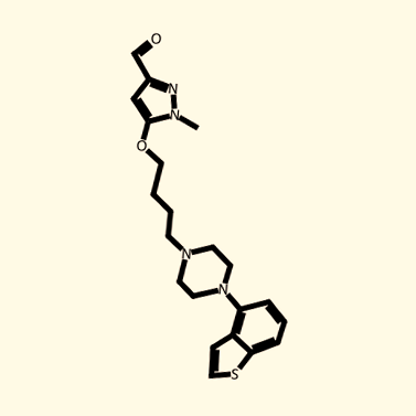 Cn1nc(C=O)cc1OCCCCN1CCN(c2cccc3sccc23)CC1